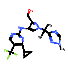 Cn1cnc(C(C)(C)n2cc(Nc3ncc(C(F)(F)F)c(C4CC4)n3)c(CO)n2)n1